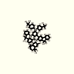 Cc1cc2c(cc1N1B3c4cccc5c4N(c4ccccc4C5(C)C)c4cc(N(c5ccc(C(C)(C)C)cc5)c5ccc(C(C)(C)C)cc5)cc(c43)-c3cc4c(cc31)C(C)(C)c1ccccc1-4)C(C)(C)CCC2(C)C